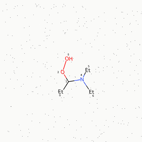 CCC(OO)N(CC)CC